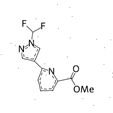 COC(=O)c1cccc(-c2cnn(C(F)F)c2)n1